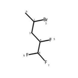 CC(Br)CC(F)[C](F)F